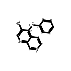 N#Cc1cnc2cnccc2c1Nc1ccccc1